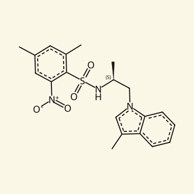 Cc1cc(C)c(S(=O)(=O)N[C@@H](C)Cn2cc(C)c3ccccc32)c([N+](=O)[O-])c1